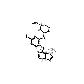 CO[C@H]1CCC[C@@H](Oc2cc(F)ccc2Nc2ncnc3ccn(C)c23)C1